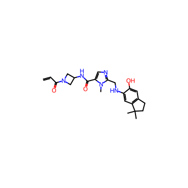 C=CC(=O)N1CC(NC(=O)c2cnc(CNc3cc4c(cc3O)CCC4(C)C)n2C)C1